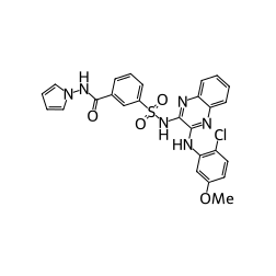 COc1ccc(Cl)c(Nc2nc3ccccc3nc2NS(=O)(=O)c2cccc(C(=O)Nn3cccc3)c2)c1